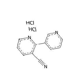 Cl.Cl.N#Cc1cccnc1-c1cccnc1